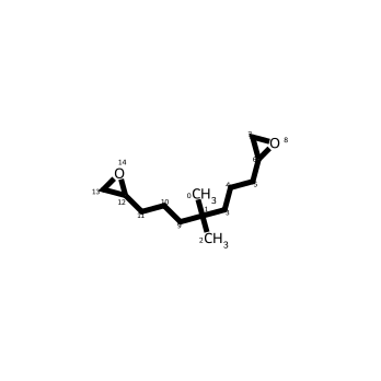 CC(C)(CCCC1CO1)CCCC1CO1